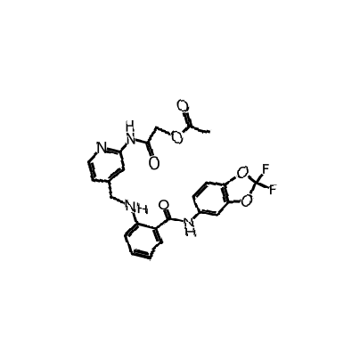 CC(=O)OCC(=O)Nc1cc(CNc2ccccc2C(=O)Nc2ccc3c(c2)OC(F)(F)O3)ccn1